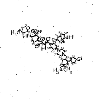 CN1CCOC(CNc2ccc(S(=O)(=O)NC(=O)c3ccc(N4CCN(CC5=C(c6ccc(Cl)cc6)CC(C)(C)CC5)CC4)cc3Oc3cnc4[nH]ccc4c3)cc2[N+](=O)[O-])C1